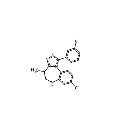 CC1CNc2cc(Cl)ccc2-n2c(-c3cccc(Cl)c3)nnc21